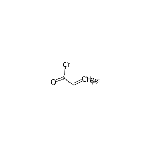 C=C[C](=O)[Cr].[Be]